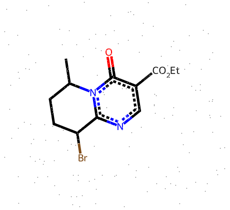 CCOC(=O)c1cnc2n(c1=O)C(C)CCC2Br